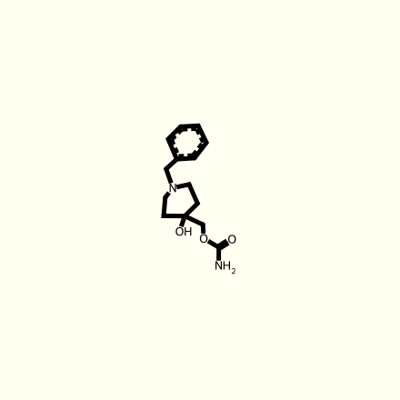 NC(=O)OCC1(O)CCN(Cc2ccccc2)CC1